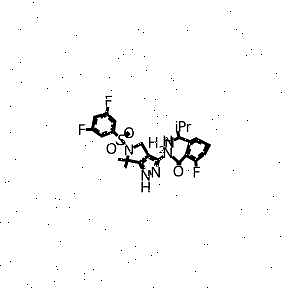 CC(C)C(N)c1cccc(F)c1C(=O)Nc1n[nH]c2c1CN(S(=O)(=O)c1cc(F)cc(F)c1)C2(C)C